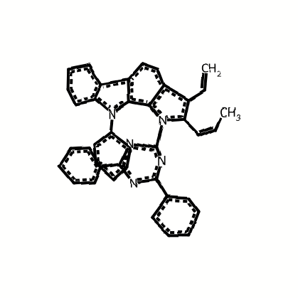 C=Cc1c(/C=C\C)n(-c2nc(-c3ccccc3)nc(-c3ccccc3)n2)c2c1ccc1c3ccccc3n(-c3ccccc3)c12